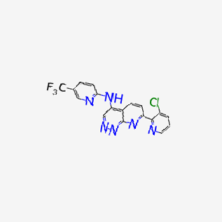 FC(F)(F)c1ccc(Nc2cnnc3nc(-c4ncccc4Cl)ccc23)nc1